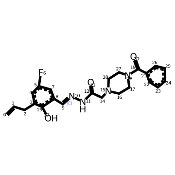 C=CCc1cc(F)cc(/C=N/NC(=O)CN2CCN(C(=O)c3ccccc3)CC2)c1O